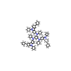 C1=CC2C(C=C1c1ccccc1)c1cc(N(c3ccccc3)c3cc(N(c4ccccc4)c4ccc5c(c4)c4cc(-c6ccccc6)ccc4n5-c4ccccc4)cc(N(c4ccccc4)c4ccc5c(c4)c4cc(-c6ccccc6)ccc4n5-c4ccccc4)c3)ccc1N2c1ccccc1